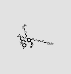 CCCOCCOCCOc1cc(OCCOCCOCCOC)c(N=[N+]=[N-])cc1C1=C2C=CC(=[N+](C)C)C=C2[Si](C)(C)c2cc(C)ccc21